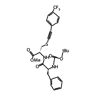 COC(=O)[C@H](CSC#Cc1ccc(C(F)(F)F)cc1)NC(=O)[C@H](Cc1ccccc1)NC(=O)OC(C)(C)C